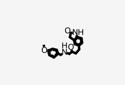 COc1ccc(CNCC2CCc3ccc4c(c3O2)CC(=O)N4)cc1